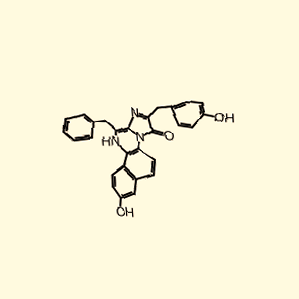 O=c1c(Cc2ccc(O)cc2)nc2c(Cc3ccccc3)[nH]c3c4ccc(O)cc4ccc3n1-2